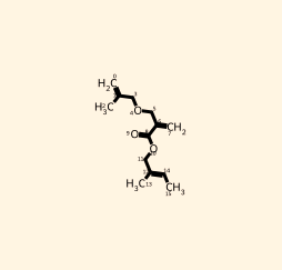 C=C(C)COCC(=C)C(=O)OCC(C)=CC